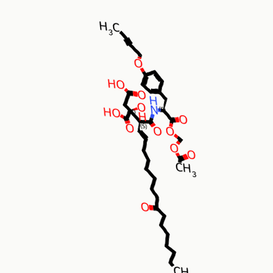 CC#CCOc1ccc(C[C@H](NC(=O)[C@@H](C=CCCCCCCC(=O)CCCCCCC)[C@@](O)(CC(=O)O)C(=O)O)C(=O)OCOC(C)=O)cc1